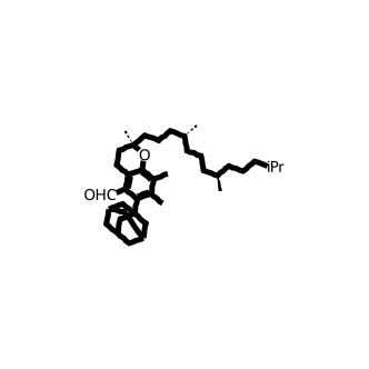 Cc1c(C)c(C23CC4CC(CC(C4)C2)C3)c(C=O)c2c1O[C@](C)(CCC[C@H](C)CCC[C@H](C)CCCC(C)C)CC2